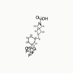 O=C(O)N1CC2(CC(Cc3cccc(S(=O)(=O)C(F)(F)F)c3)C2)C1